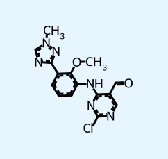 COc1c(Nc2nc(Cl)ncc2C=O)cccc1-c1ncn(C)n1